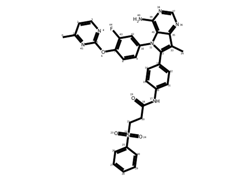 Cc1ccnc(Oc2ccc(-n3c(-c4ccc(NC(=O)CCS(=O)(=O)c5ccccc5)cc4)c(C)c4ncnc(N)c43)cc2F)n1